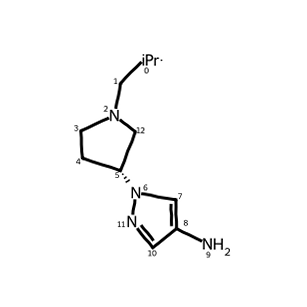 C[C](C)CN1CC[C@@H](n2cc(N)cn2)C1